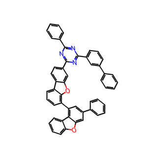 c1ccc(-c2cccc(-c3nc(-c4ccccc4)nc(-c4ccc5c(c4)oc4c(-c6cc(-c7ccccc7)cc7oc8ccccc8c67)cccc45)n3)c2)cc1